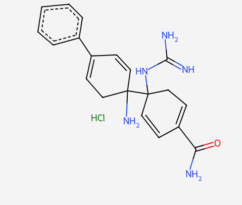 Cl.N=C(N)NC1(C2(N)C=CC(c3ccccc3)=CC2)C=CC(C(N)=O)=CC1